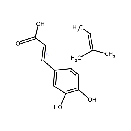 CC=C(C)C.O=C(O)/C=C/c1ccc(O)c(O)c1